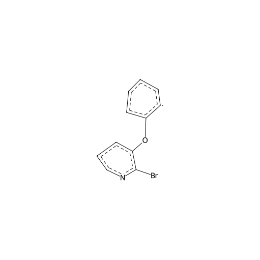 Brc1ncccc1Oc1[c]cccc1